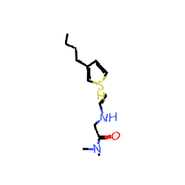 CCCCC1=C[SH](CCNCC(=O)N(C)C)C=C1